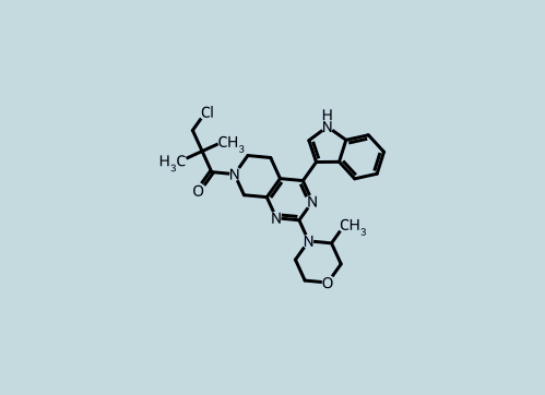 CC1COCCN1c1nc2c(c(-c3c[nH]c4ccccc34)n1)CCN(C(=O)C(C)(C)CCl)C2